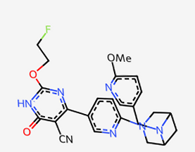 COc1ccc(CN2C3CC2CN(c2ccc(-c4nc(OCCF)[nH]c(=O)c4C#N)cn2)C3)cn1